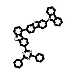 c1ccc(-c2nc(-c3ccccc3)nc(-c3ccc4c(c3)oc3cccc(-c5ccc6c(c5)sc5cc(-n7c8ccccc8c8ccccc87)ccc56)c34)n2)cc1